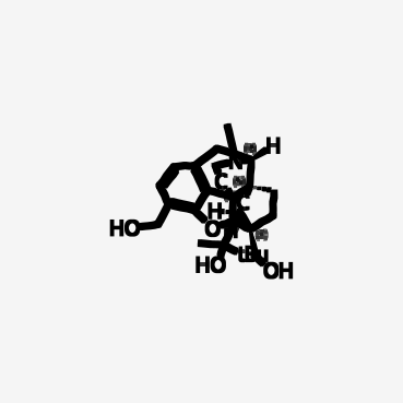 CN1CC[C@]23c4c5ccc(CO)c4O[C@H]2[C@@]2(CO)CC[C@@]3(C[C@@H]2C(C)(O)C(C)(C)C)[C@H]1C5